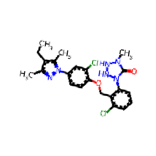 CCc1c(C)nn(-c2ccc(OCc3c(Cl)cccc3N3NNN(C)C3=O)c(Cl)c2)c1C